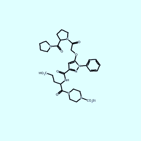 CCOC(=O)N1CCN(C(=O)C(CCC(=O)O)NC(=O)c2cc(OCC(=O)N3CCCC3C(=O)N3CCCC3)n(-c3ccccc3)n2)CC1